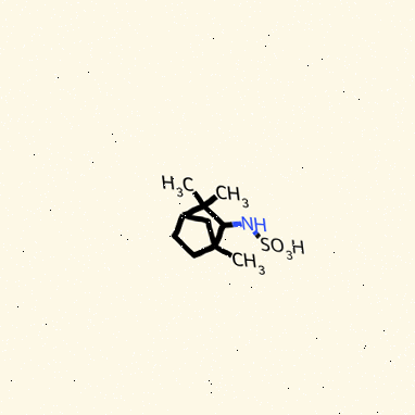 CC12CCC(C1)C(C)(C)C2NS(=O)(=O)O